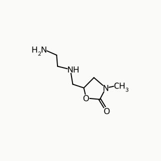 CN1CC(CNCCN)OC1=O